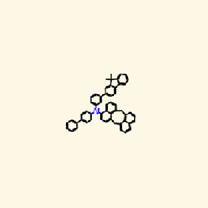 CC1(C)c2ccccc2-c2ccc(-c3cccc(N(c4ccc(-c5ccccc5)cc4)c4ccc5c6c(cccc46)Cc4cccc6cccc(c46)C5)c3)cc21